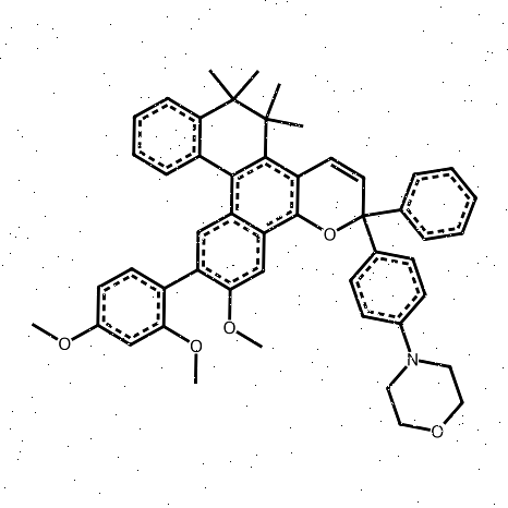 COc1ccc(-c2cc3c4c(c5c(c3cc2OC)OC(c2ccccc2)(c2ccc(N3CCOCC3)cc2)C=C5)C(C)(C)C(C)(C)c2ccccc2-4)c(OC)c1